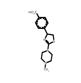 CN1CCN(C2=NC(c3ccc(C(=O)O)cc3)CS2)CC1